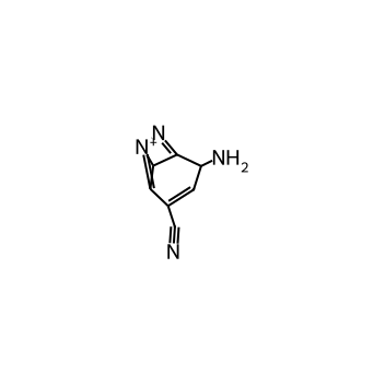 N#CC1=CC(N)C2=N[N+]3=C1C23